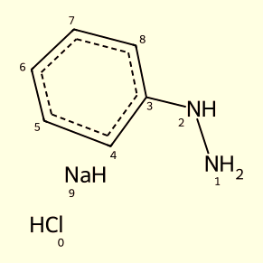 Cl.NNc1ccccc1.[NaH]